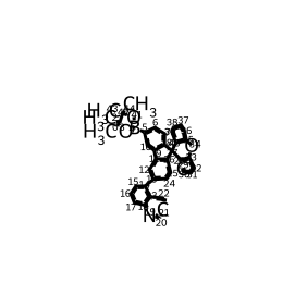 CC1(C)OB(c2ccc3c(c2)-c2cc(-c4cccc5ncccc45)ccc2C32c3ccccc3Oc3ccccc32)OC1(C)C